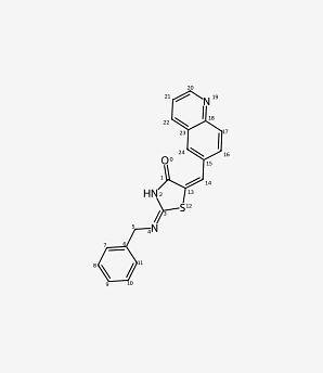 O=C1NC(=NCc2ccccc2)SC1=Cc1ccc2ncccc2c1